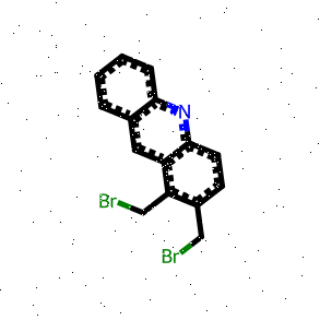 BrCc1ccc2nc3ccccc3cc2c1CBr